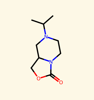 CC(C)N1CCN2C(=O)OCC2C1